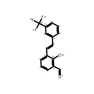 O=Cc1cccc(C=Cc2cccc(C(F)(F)F)c2)c1Cl